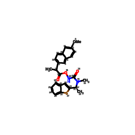 COc1ccc2cc(C(C)C(=O)ONC(=O)N(C)[C@H](C)c3cc4ccccc4s3)ccc2c1